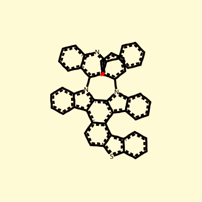 c1ccc(-c2nc(-n3c4ccccc4c4c5ccc6sc7ccccc7c6c5c5c6ccccc6n(-c6ccccc6)c5c43)c3ccccc3n2)cc1